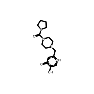 O=C(N1CCCC1)N1CCN(Cc2cc(=O)c(O)c[nH]2)CC1